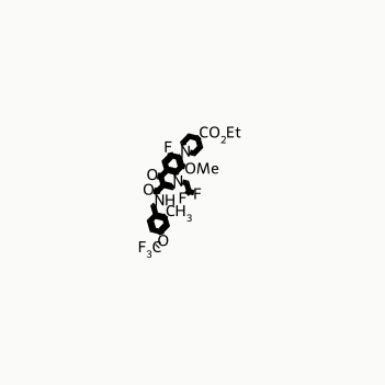 CCOC(=O)C1CCN(c2c(F)cc3c(=O)c(C(=O)NCc4ccc(OC(F)(F)F)cc4C)cn(CC(F)F)c3c2OC)CC1